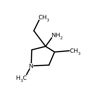 CCC1(N)CN(C)CC1C